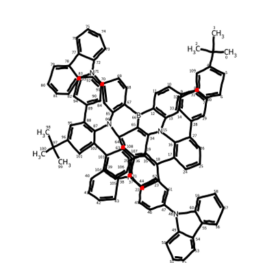 CC(C)(C)c1cccc(-c2ccc3c(c2)N(c2c(-c4ccccc4)cccc2-c2ccccc2)c2cc(N(c4ccccc4)c4ccc(-n5c6ccccc6c6ccccc65)cc4)cc4c2B3c2ccc(-n3c5ccccc5c5ccccc53)cc2N4c2c(-c3ccccc3)cc(C(C)(C)C)cc2-c2ccccc2)c1